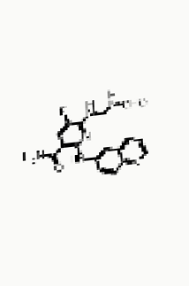 NC(=O)c1cc(F)c(NCNC=O)nc1Nc1ccc2ncccc2c1